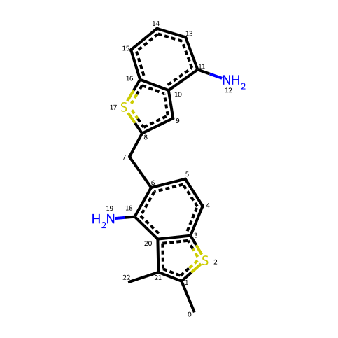 Cc1sc2ccc(Cc3cc4c(N)cccc4s3)c(N)c2c1C